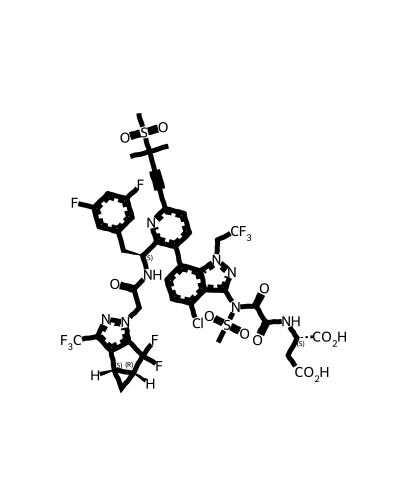 CC(C)(C#Cc1ccc(-c2ccc(Cl)c3c(N(C(=O)C(=O)N[C@@H](CC(=O)O)C(=O)O)S(C)(=O)=O)nn(CC(F)(F)F)c23)c([C@H](Cc2cc(F)cc(F)c2)NC(=O)Cn2nc(C(F)(F)F)c3c2C(F)(F)[C@@H]2C[C@H]32)n1)S(C)(=O)=O